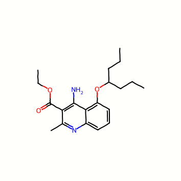 CCCC(CCC)Oc1cccc2nc(C)c(C(=O)OCC)c(N)c12